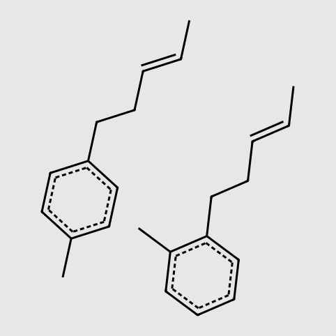 CC=CCCc1ccc(C)cc1.CC=CCCc1ccccc1C